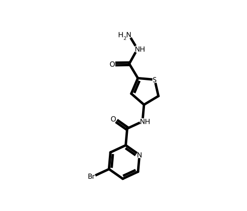 NNC(=O)C1=CC(NC(=O)c2cc(Br)ccn2)CS1